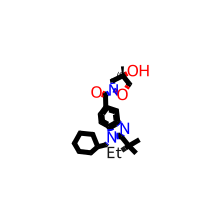 CCC(C)(C)c1nc2cc(C(=O)N3C[C@](C)(O)CO3)ccc2n1CC1CCCCC1